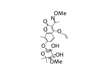 C=CCOc1c(C(C)=NOC)c(=O)oc2c(C)c(O[C@@H]3OC(C)(C)[C@H](OC)[C@H](O)[C@H]3O)ccc12